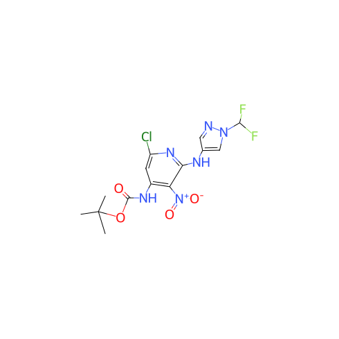 CC(C)(C)OC(=O)Nc1cc(Cl)nc(Nc2cnn(C(F)F)c2)c1[N+](=O)[O-]